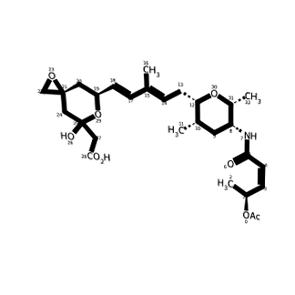 CC(=O)O[C@@H](C)/C=C\C(=O)N[C@@H]1C[C@H](C)[C@H](C/C=C(C)/C=C/[C@@H]2C[C@]3(CO3)CC(O)(CC(=O)O)O2)O[C@@H]1C